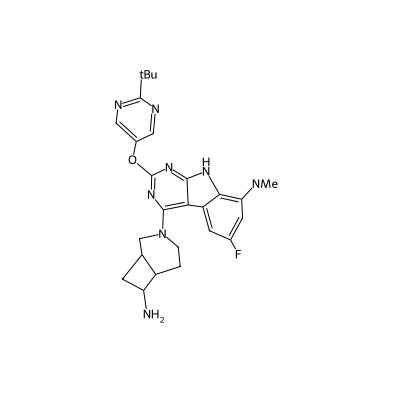 CNc1cc(F)cc2c1[nH]c1nc(Oc3cnc(C(C)(C)C)nc3)nc(N3CCC4C(N)CC4C3)c12